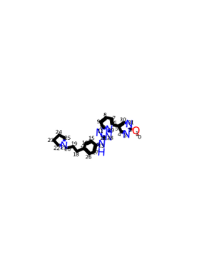 COc1ncc(-c2cccc3nc(Nc4ccc(CCCN5CCCC5)cc4)nn23)cn1